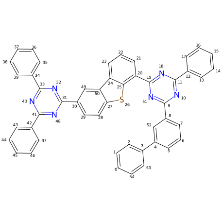 c1ccc(-c2cccc(-c3nc(-c4ccccc4)nc(-c4cccc5c4sc4ccc(-c6nc(-c7ccccc7)nc(-c7ccccc7)n6)cc45)n3)c2)cc1